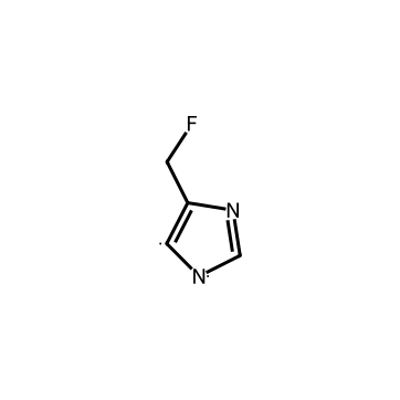 FCC1=[C][N]C=N1